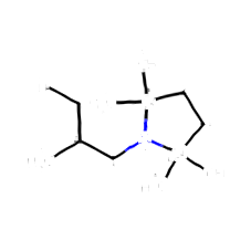 [Li][CH2]C(C)CN1[Si](C)(C)CC[Si]1(C)C